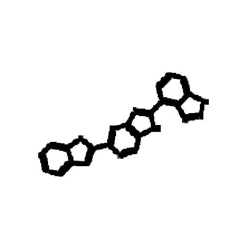 c1ccc2sc(-c3ncc4[nH]c(-c5cccc6[se]nnc56)nc4n3)cc2c1